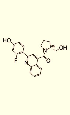 O=C(c1cc(-c2ccc(O)cc2F)nc2ccccc12)N1CCC[C@@H]1CO